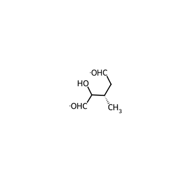 C[C@@H](C[C]=O)C(O)[C]=O